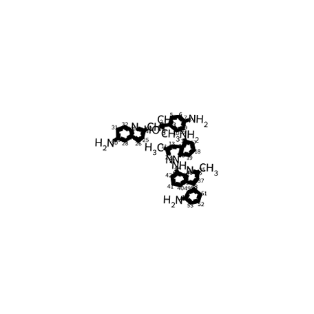 CC(C)(O)c1ccc(N)cc1.Cc1cc2c(N)cccc2nn1.Cc1ccc2cc(N)ccc2n1.Cc1ccc2cccc(N)c2n1.Nc1c[c]ccc1